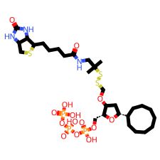 CC(C)(CNC(=O)CCCCC1SCC2NC(=O)NC21)SSCOC1C[C@H](C2CCCCCCCC2)O[C@@H]1COP(=O)(O)OP(=O)(O)OP(=O)(O)O